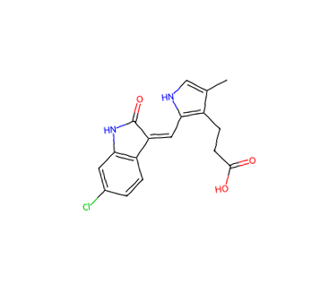 Cc1c[nH]c(/C=C2\C(=O)Nc3cc(Cl)ccc32)c1CCC(=O)O